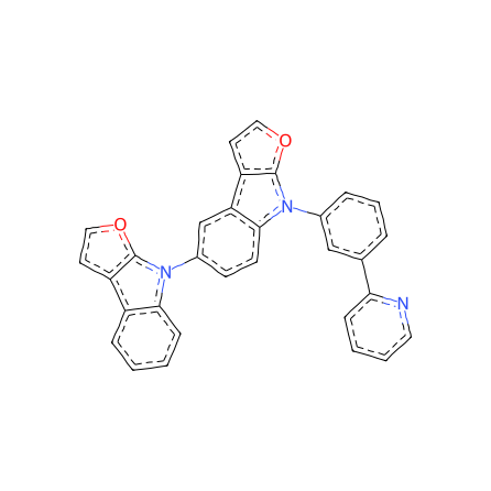 c1ccc(-c2cccc(-n3c4ccc(-n5c6ccccc6c6ccoc65)cc4c4ccoc43)c2)nc1